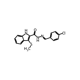 CSc1c(C(=O)NN=Cc2ccc(Cl)cc2)[nH]c2ccccc12